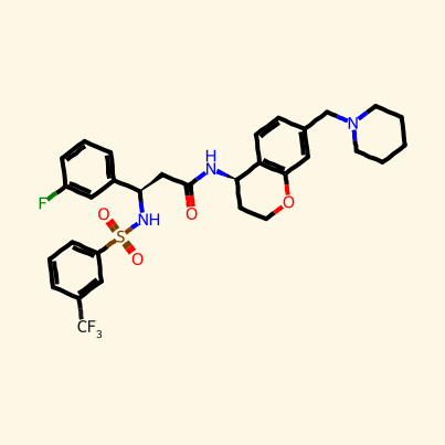 O=C(C[C@@H](NS(=O)(=O)c1cccc(C(F)(F)F)c1)c1cccc(F)c1)N[C@@H]1CCOc2cc(CN3CCCCC3)ccc21